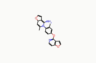 CC1=CC2OC=CC2=C(N)N1c1ccc(Oc2nccc3occc23)cc1C